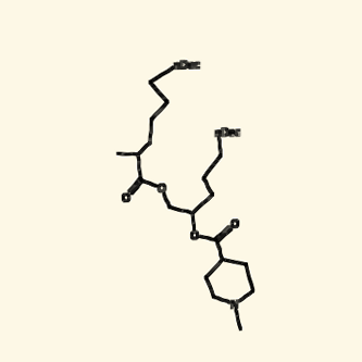 CCCCCCCCCCCCCCC(C)C(=O)OCC(CCCCCCCCCCCCC)OC(=O)C1CCN(C)CC1